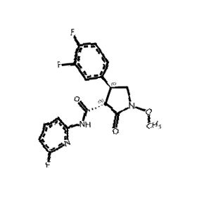 CON1C[C@H](c2ccc(F)c(F)c2)[C@@H](C(=O)Nc2cccc(F)n2)C1=O